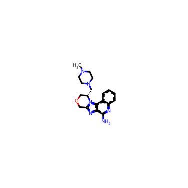 CN1CCN(C[C@H]2COCc3nc4c(N)nc5ccccc5c4n32)CC1